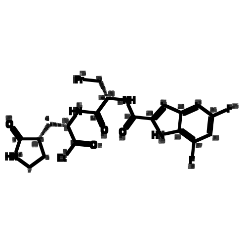 CCC(=O)[C@H](C[C@@H]1CCNC1=O)NC(=O)[C@H](CC(C)C)NC(=O)c1cc2cc(F)cc(F)c2[nH]1